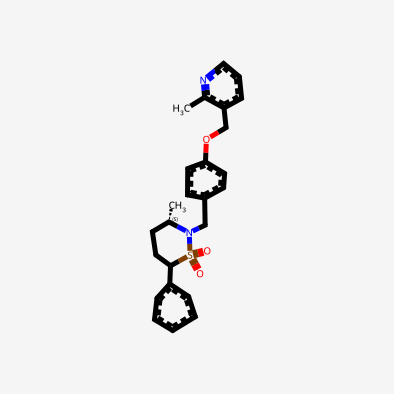 Cc1ncccc1COc1ccc(CN2[C@@H](C)CCC(c3ccccc3)S2(=O)=O)cc1